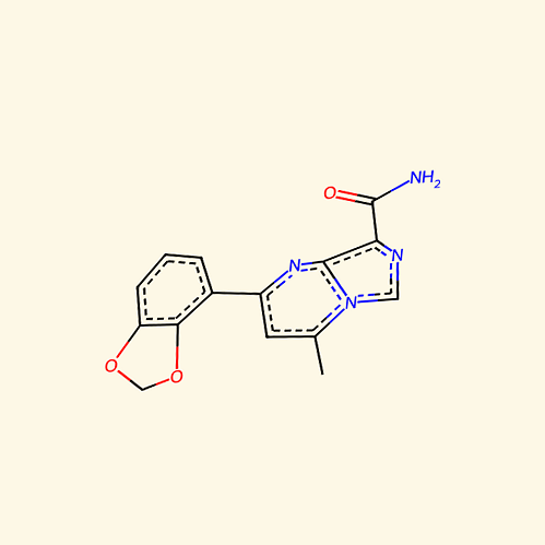 Cc1cc(-c2cccc3c2OCO3)nc2c(C(N)=O)ncn12